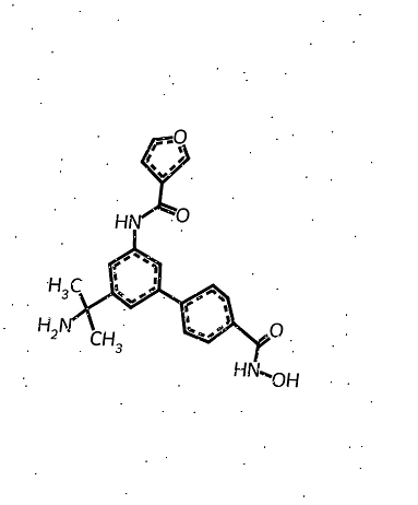 CC(C)(N)c1cc(NC(=O)c2ccoc2)cc(-c2ccc(C(=O)NO)cc2)c1